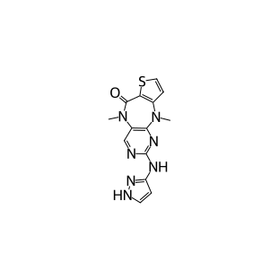 CN1C(=O)c2sccc2N(C)c2nc(Nc3cc[nH]n3)ncc21